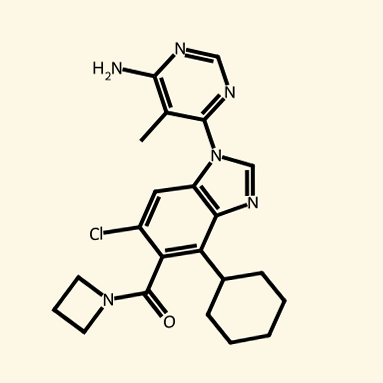 Cc1c(N)ncnc1-n1cnc2c(C3CCCCC3)c(C(=O)N3CCC3)c(Cl)cc21